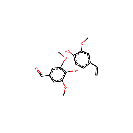 C=Cc1ccc(O)c(OC)c1.COc1cc(C=O)cc(OC)c1O